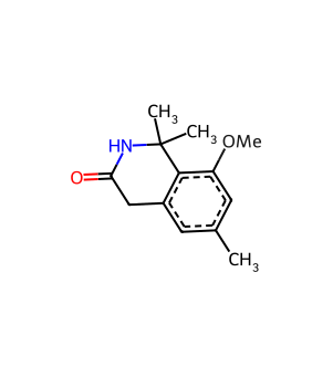 COc1cc(C)cc2c1C(C)(C)NC(=O)C2